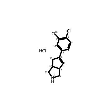 Cl.Clc1ccc(C2=CC3CNCC3C2)cc1Cl